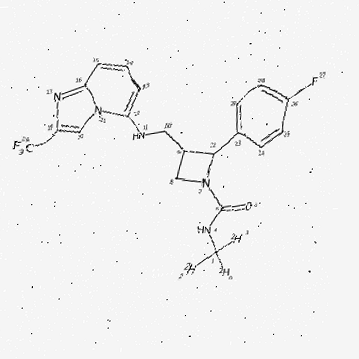 [2H]C([2H])([2H])NC(=O)N1CC(CNc2cccc3nc(C(F)(F)F)cn23)C1c1ccc(F)cc1